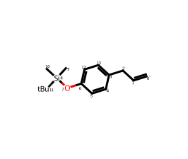 [CH]=CCc1ccc(O[Si](C)(C)C(C)(C)C)cc1